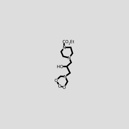 CCOC(=O)N1CCN(CC(O)CN2COOOC2)CC1